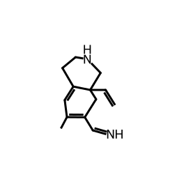 C=CC12CNCCC1=CC(C)=C(C=N)C2